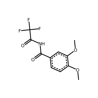 COc1ccc(C(=O)NC(=O)C(F)(F)F)cc1OC